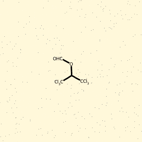 O=COC(C(Cl)(Cl)Cl)C(Cl)(Cl)Cl